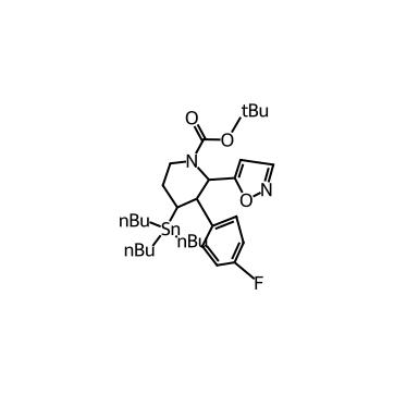 CCC[CH2][Sn]([CH2]CCC)([CH2]CCC)[CH]1CCN(C(=O)OC(C)(C)C)C(c2ccno2)C1c1ccc(F)cc1